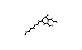 CCCCCCCCC([CH]C(C)CCCC)CCCC